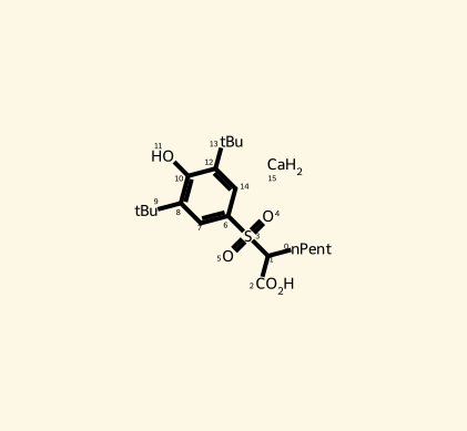 CCCCCC(C(=O)O)S(=O)(=O)c1cc(C(C)(C)C)c(O)c(C(C)(C)C)c1.[CaH2]